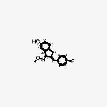 CO/N=C1/C(=C/c2ccc(F)cc2)Cc2ccc(O)cc21